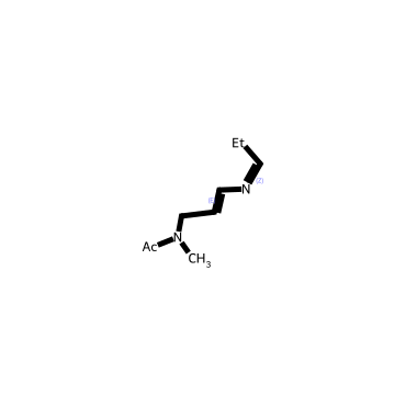 CC/C=N\C=C\CN(C)C(C)=O